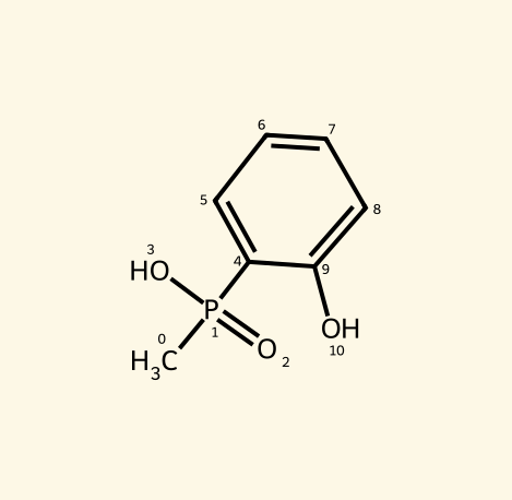 CP(=O)(O)c1ccccc1O